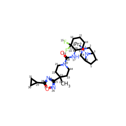 CC(C)N1CC2CCC(C1)N2[C@H]1CCCC(F)(F)[C@@H]1NC(=O)N1CCC(C)(c2noc(C3CC3)n2)CC1